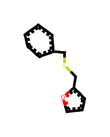 c1ccc(CSCc2ccco2)cc1